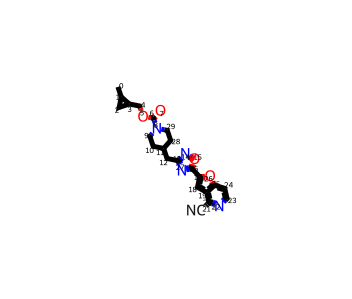 CC1CC1COC(=O)N1CCC(Cc2noc(-c3cc4c(C#N)nccc4o3)n2)CC1